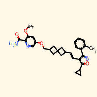 CC(C)Oc1cc(OCC2CC3(CC(/C=C/c4c(-c5ccccc5C(F)(F)F)noc4C4CC4)C3)C2)cnc1C(N)=O